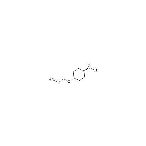 CCN[C@H]1CC[C@H](OCCO)CC1